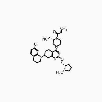 C=CC(=O)N1CCN(c2nc(OC[C@@H]3CCCN3C)nc3c2CCC(N2CCCc4ccc(Cl)cc42)C3)C[C@@H]1CC#N